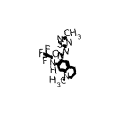 Cc1nsc(N=Nc2cc3c(cc2NC(=O)C(F)(F)F)N(C)CCC3)n1